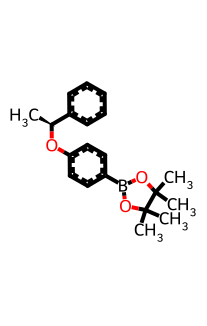 C[C@H](Oc1ccc(B2OC(C)(C)C(C)(C)O2)cc1)c1ccccc1